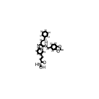 O=C(/C=C/c1ccc2nc(CCc3ccccc3)c(NCc3ccc4c(c3)OCO4)n2c1)NO